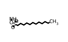 CCCCCCCCCCCCS(=O)(=O)ON